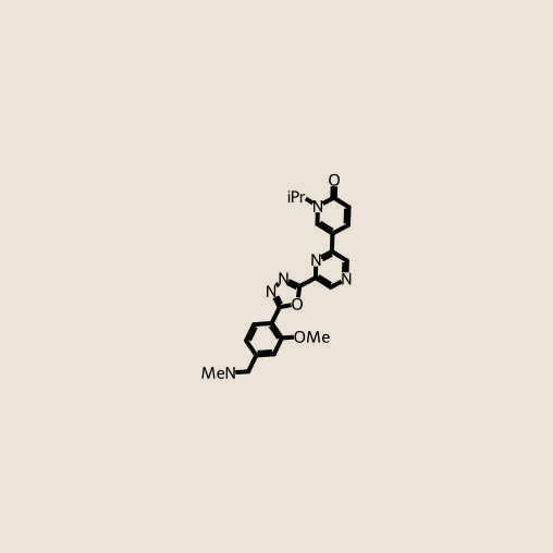 CNCc1ccc(-c2nnc(-c3cncc(-c4ccc(=O)n(C(C)C)c4)n3)o2)c(OC)c1